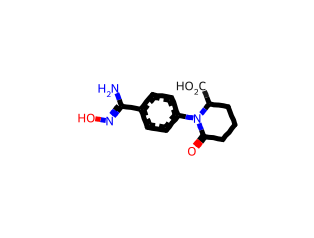 NC(=NO)c1ccc(N2C(=O)CCCC2C(=O)O)cc1